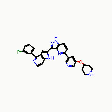 Fc1cccc(-c2nccc3[nH]c(-c4n[nH]c5ccc(-c6cncc(OC7CCNCC7)c6)nc45)cc23)c1